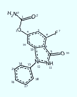 NC(=O)Oc1cc(F)c2c(=O)[nH]n(-c3ccccc3)c2c1